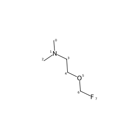 CN(C)CCOCF